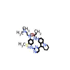 C=CC(=O)Nc1cc(Nc2nccc(-c3c4n(c5ccccc35)CCCC4)n2)c(SC)cc1N(C)CCN(C)C